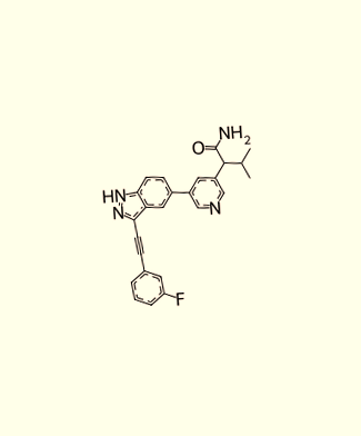 CC(C)C(C(N)=O)c1cncc(-c2ccc3[nH]nc(C#Cc4cccc(F)c4)c3c2)c1